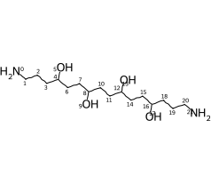 NCCCC(O)CCC(O)CCC(O)CCC(O)CCCN